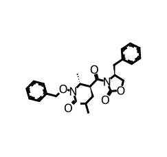 CC(C)C[C@H](C(=O)N1C(=O)OC[C@@H]1Cc1ccccc1)[C@@H](C)N(C=O)OCc1ccccc1